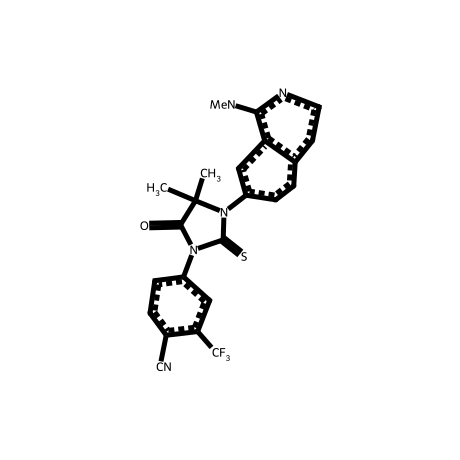 CNc1nccc2ccc(N3C(=S)N(c4ccc(C#N)c(C(F)(F)F)c4)C(=O)C3(C)C)cc12